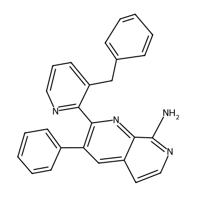 Nc1nccc2cc(-c3ccccc3)c(-c3ncccc3Cc3ccccc3)nc12